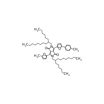 CCCCCCCCC(CCCCCC)CN1C(=O)C2=C(c3ccc(-c4ccc(C)cc4)o3)N(CC(CCCCCC)CCCCCCCC)C(=O)C2=C1c1ccc(C)o1